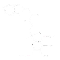 CCCCCOc1cc(C(C#N)(CCC(O)C(CC2Oc3ccccc3O2)[N+](=O)[O-])C(C)C)c(OCCCCC)c(OC)c1OC